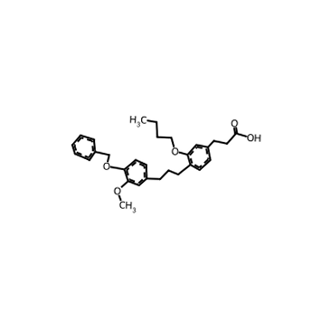 CCCCOc1cc(CCC(=O)O)ccc1CCCc1ccc(OCc2ccccc2)c(OC)c1